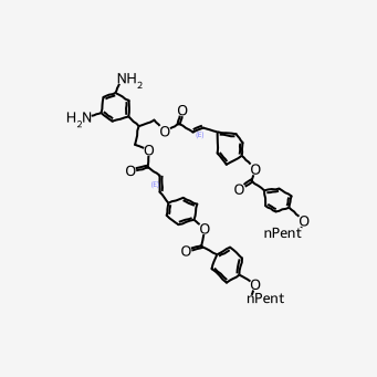 CCCCCOc1ccc(C(=O)Oc2ccc(/C=C/C(=O)OCC(COC(=O)/C=C/c3ccc(OC(=O)c4ccc(OCCCCC)cc4)cc3)c3cc(N)cc(N)c3)cc2)cc1